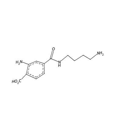 NCCCCNC(=O)c1ccc(C(=O)O)c(N)c1